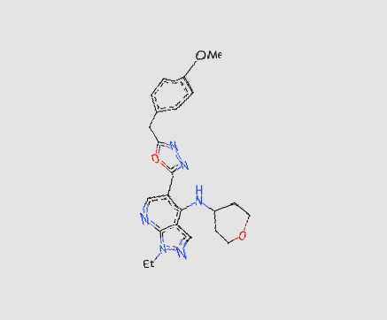 CCn1ncc2c(NC3CCOCC3)c(-c3nnc(Cc4ccc(OC)cc4)o3)cnc21